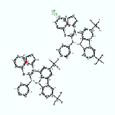 CC(C)(C)c1ccc2c(c1)-c1cc(C(C)(C)C)c[c]([Hf]([C]3=CC=CC3)=[C](Cc3ccccc3)Cc3ccccc3)c1C2.CC(C)(C)c1ccc2c(c1)-c1cc(C(C)(C)C)c[c]([Hf]([C]3=CC=CC3)=[C](Cc3ccccc3)Cc3ccccc3)c1C2.[Cl-].[Cl-]